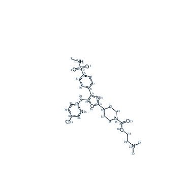 CNS(=O)(=O)c1ccc(-c2nc(C3CCN(C(=O)OCCN(C)C)CC3)oc2Sc2ccc(Cl)cn2)cc1